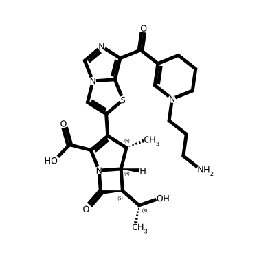 C[C@@H](O)[C@H]1C(=O)N2C(C(=O)O)=C(c3cn4cnc(C(=O)C5=CN(CCCN)CCC5)c4s3)[C@H](C)[C@H]12